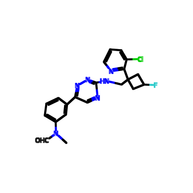 CN(C=O)c1cccc(-c2cnc(NCC3(c4ncccc4Cl)CC(F)C3)nn2)c1